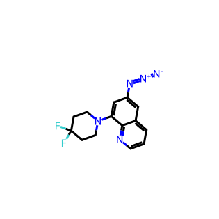 [N-]=[N+]=Nc1cc(N2CCC(F)(F)CC2)c2ncccc2c1